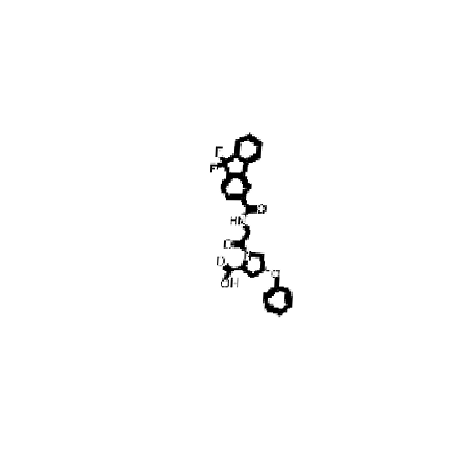 O=C(NCC(=O)N1C[C@H](Oc2ccccc2)C[C@H]1C(=O)O)c1ccc2c(c1)-c1ccccc1C2(F)F